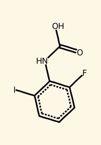 O=C(O)Nc1c(F)cccc1I